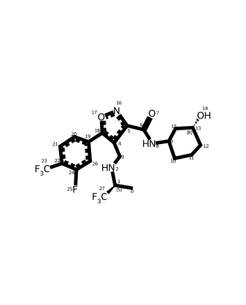 C[C@H](NCc1c(C(=O)NC2CCC[C@@H](O)C2)noc1-c1ccc(C(F)(F)F)c(F)c1)C(F)(F)F